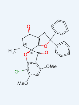 COc1cc(OC)c2c(c1Cl)O[C@]1(C2=O)C2=C(CC(c3ccccc3)(c3ccccc3)O2)C(=O)C[C@H]1C